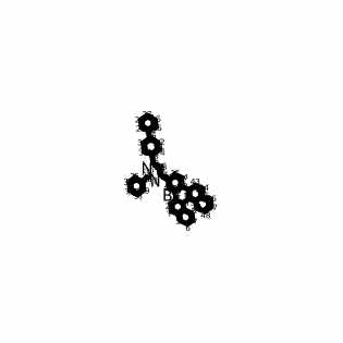 Brc1ccc2ccccc2c1-c1c(-c2ccc(-c3cc(-c4ccc(-c5ccccc5)cc4)nc(-c4ccccc4)n3)cc2)ccc2ccccc12